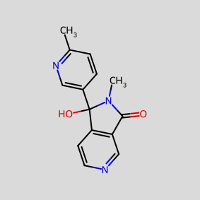 Cc1ccc(C2(O)c3ccncc3C(=O)N2C)cn1